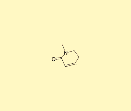 CN1CC[C]=CC1=O